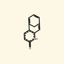 O=c1ccc2c([nH]1)C=C1C=CC=C2C1